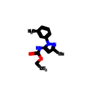 Cc1cccc(-n2nc(C(C)(C)C)cc2NC(=O)OCC(Cl)(Cl)Cl)c1